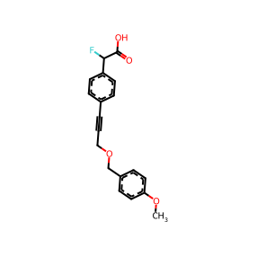 COc1ccc(COCC#Cc2ccc(C(F)C(=O)O)cc2)cc1